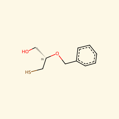 OC[C@@H](CS)OCc1ccccc1